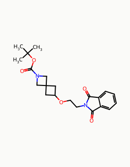 CC(C)(C)OC(=O)N1CC2(CC(OCCN3C(=O)c4ccccc4C3=O)C2)C1